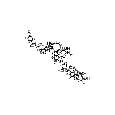 CCN[C@H]1CO[C@@H](O[C@H]2[C@H](O[C@H]3C#CC=CC#C[C@]4(O)CC(=O)C(NC(=O)OC)=C3/C4=C\CSSC(C)(C)CC(=O)N/N=C(\C)c3ccc(OC)cc3)O[C@H](C)[C@@H](NO[C@H]3C[C@H](O)[C@H]([SH]=C(O)c4c(C)c(I)c(O[C@@H]5O[C@@H](C)[C@H](O)[C@@H](OC)[C@H]5O)c(OC)c4OC)[C@@H](C)O3)[C@@H]2O)C[C@@H]1OC